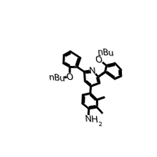 CCCCOc1ccccc1-c1cc(-c2ccc(N)c(C)c2C)cc(-c2ccccc2OCCCC)n1